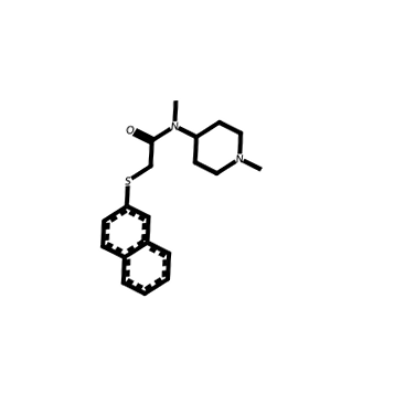 CN1CCC(N(C)C(=O)CSc2ccc3ccccc3c2)CC1